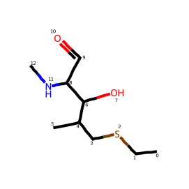 CCSCC(C)C(O)C([C]=O)NC